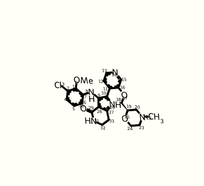 COc1c(Cl)cccc1Nc1c(-c2ccncc2OC[C@H]2CN(C)CCO2)[nH]c2c1C(=O)NCC2